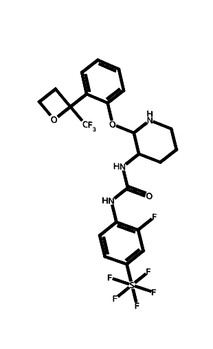 O=C(Nc1ccc(S(F)(F)(F)(F)F)cc1F)NC1CCCNC1Oc1ccccc1C1(C(F)(F)F)CCO1